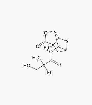 CCC(C)(CO)C(=O)OC1C2CC3(C(F)(F)F)C(=O)OC1C3S2